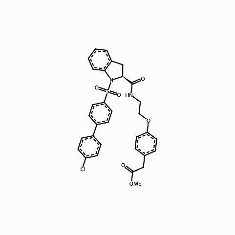 COC(=O)Cc1ccc(OCCNC(=O)[C@@H]2Cc3ccccc3N2S(=O)(=O)c2ccc(-c3ccc(Cl)cc3)cc2)cc1